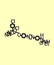 CCNC(=O)Nc1ccc(N2CCN(c3ccc(OCC4COC(Cn5cncn5)(c5ccc(Cl)cc5Cl)O4)cc3)CC2)cc1